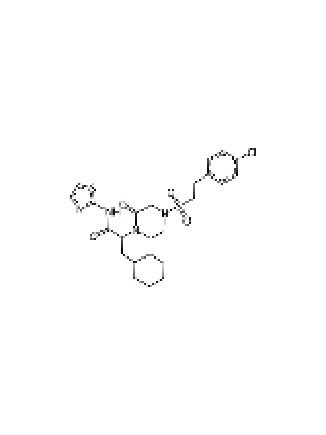 O=C(Nc1nccs1)C(CC1CCCCC1)N1CCN(S(=O)(=O)CCc2ccc(Cl)cc2)CC1=O